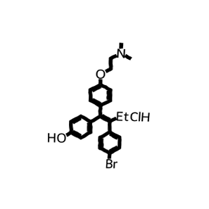 CCC(=C(c1ccc(O)cc1)c1ccc(OCCN(C)C)cc1)c1ccc(Br)cc1.Cl